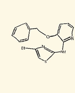 CCc1csc(Nc2ncccc2OCc2ccccc2)n1